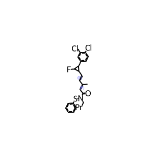 CC(/C=C/C1C(F)C1c1ccc(Cl)c(Cl)c1)=C\C(=O)N(CC(C)C)Sc1ccccc1